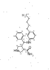 CCCCCc1cccc(NC(c2ccccc2)C2CNCC2C(N)=O)c1